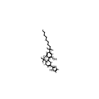 CCCCCCCCC(C)(C)c1cc(O)c2c(c1)OC(C)(C)C1CC=C(c3ncc[nH]3)CC21